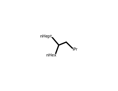 CCCCCCC[C](CCCCCC)CC(C)C